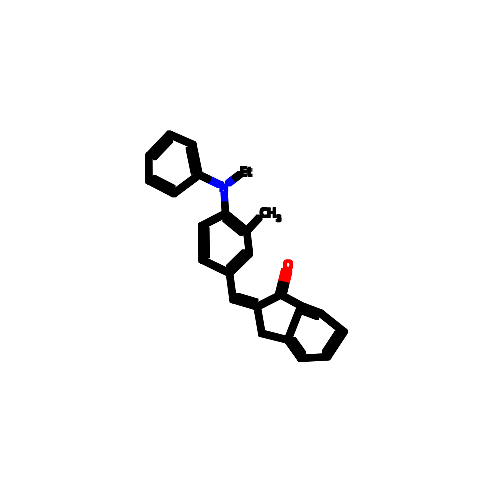 CCN(c1ccccc1)c1ccc(/C=C2/Cc3ccccc3C2=O)cc1C